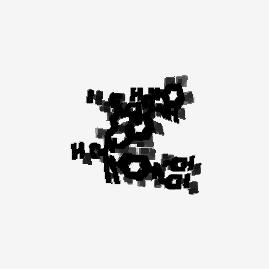 C=C(Nc1ccc(N(CC)CC)cc1)N(CCCN(C)C)Cc1ccc(C(=O)Nc2ccccc2N)nc1